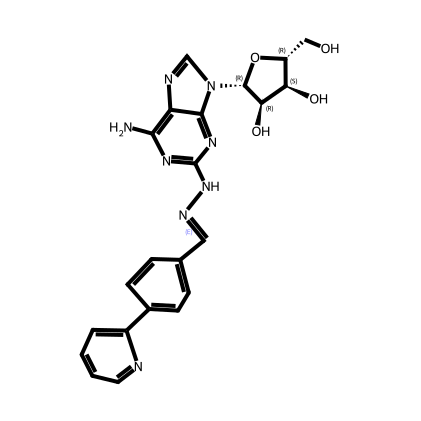 Nc1nc(N/N=C/c2ccc(-c3ccccn3)cc2)nc2c1ncn2[C@@H]1O[C@H](CO)[C@@H](O)[C@H]1O